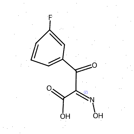 O=C(O)/C(=N\O)C(=O)c1cccc(F)c1